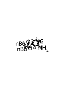 CCCCN(CCCC)S(=O)(=O)c1ccc(Cl)c(N)c1